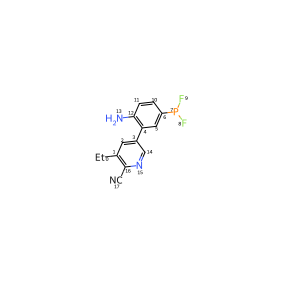 CCc1cc(-c2cc(P(F)F)ccc2N)cnc1C#N